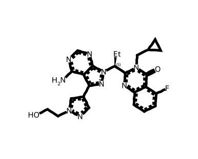 CC[C@@H](c1nc2cccc(F)c2c(=O)n1CC1CC1)n1nc(-c2cnn(CCO)c2)c2c(N)ncnc21